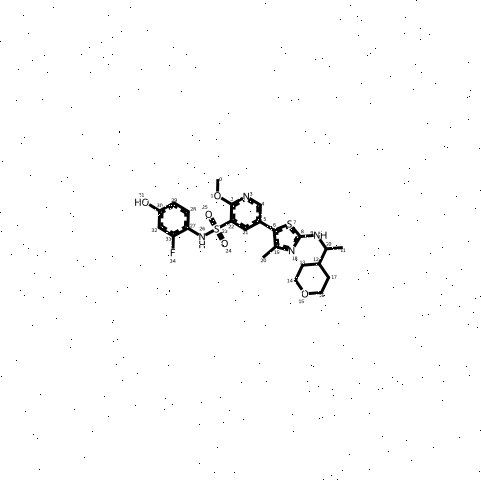 COc1ncc(-c2sc(NC(C)C3CCOCC3)nc2C)cc1S(=O)(=O)Nc1ccc(O)cc1F